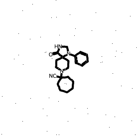 N#CC1(N2CCC3(CC2)C(=O)NCN3c2ccccc2)CCCCCC1